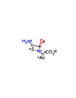 CC(=O)C(C(=O)O)N1SC(N)C1=O